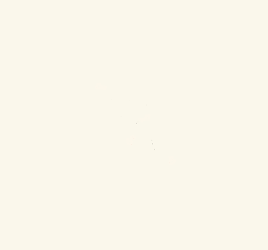 CCCCCC(C(C)C=O)C(C)C(=O)C(=O)CCC=O